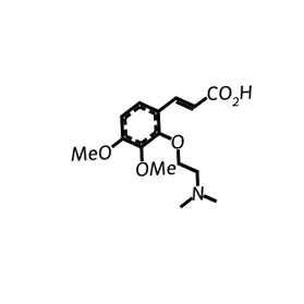 COc1ccc(/C=C/C(=O)O)c(OCCN(C)C)c1OC